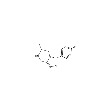 CC1Cn2c(nnc2-c2ccc(F)cn2)CN1